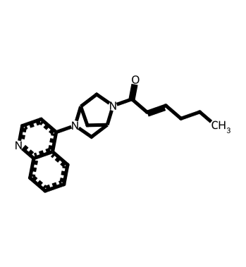 CCC/C=C/C(=O)N1CC2CC1CN2c1ccnc2ccccc12